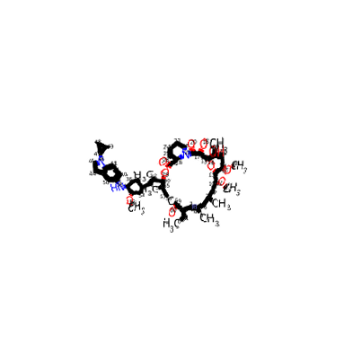 CCC1/C=C(\C)CC(C)CC(OC)C2OC(O)(C(=O)C(=O)N3CCCCC3C(=O)OC(C(C)=CC3CCC(Nc4ccc5c(ccn5C5CC5)c4)C(OC)C3)C(C)CCC1=O)C(C)CC2OC